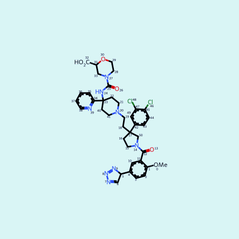 COc1ccc(C2C=NN=N2)cc1C(=O)N1CCC(CCN2CCC(NC(=O)N3CCOC(C(=O)O)C3)(c3ccccn3)CC2)(c2ccc(Cl)c(Cl)c2)C1